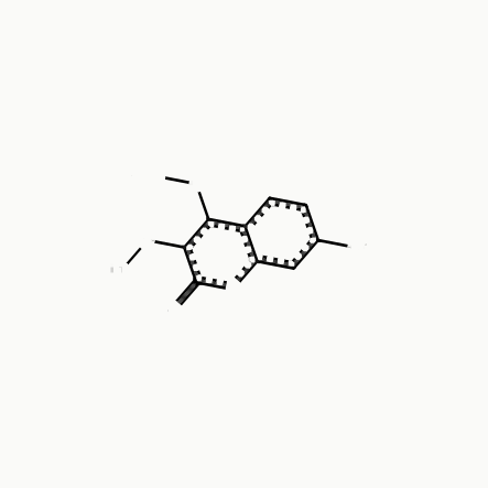 CCCCCCCCCCOc1c(OC(C)C)c(=O)oc2cc(OC(C)=O)ccc12